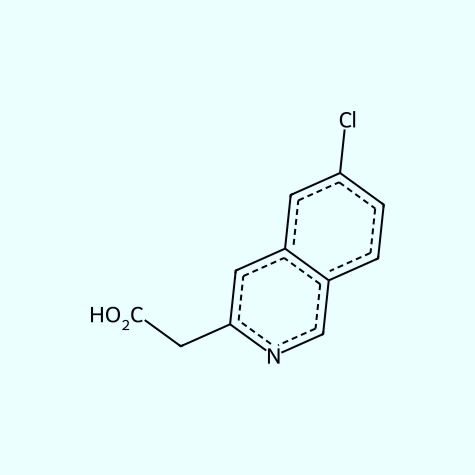 O=C(O)Cc1cc2cc(Cl)ccc2cn1